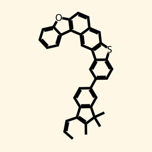 C/C=C\C1=C(C)C(C)(C)c2cc(-c3ccc4sc5cc6ccc7oc8ccccc8c7c6cc5c4c3)ccc21